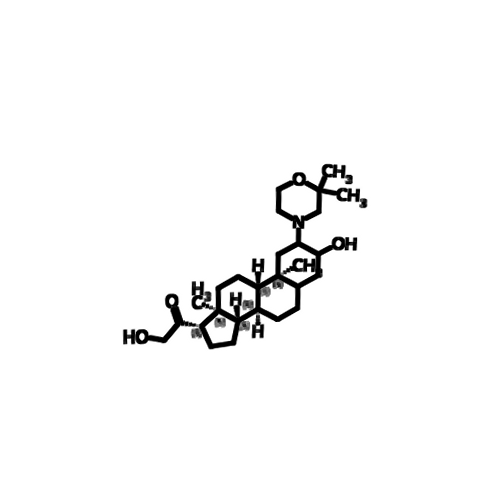 CC1(C)CN(C2C[C@@]3(C)C(CC[C@H]4[C@@H]5CC[C@H](C(=O)CO)[C@@]5(C)CC[C@@H]43)CC2O)CCO1